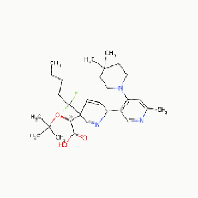 CCCCC(F)(F)C1([C@H](OC(C)(C)C)C(=O)O)C=CC(c2cnc(C)cc2N2CCC(C)(C)CC2)N=C1